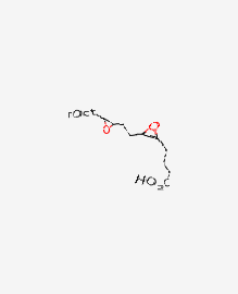 CCCCCCCCC1OC1CCC1OC1CCCC(=O)O